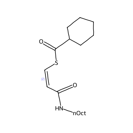 CCCCCCCCNC(=O)/C=C\SC(=O)C1CCCCC1